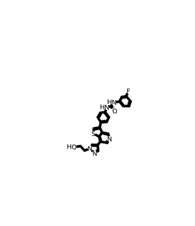 O=C(Nc1ccc(-c2csc3c(-c4cnn(CCO)c4)cncc23)cc1)Nc1cccc(F)c1